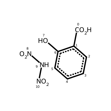 O=C(O)c1ccccc1O.O=[N+]([O-])N[N+](=O)[O-]